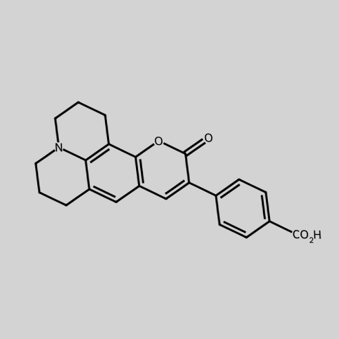 O=C(O)c1ccc(-c2cc3cc4c5c(c3oc2=O)CCCN5CCC4)cc1